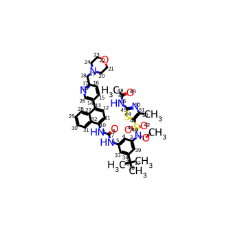 CON(c1cc(NC(=O)Nc2ccc(-c3ccc(CN4CCOCC4)nc3)c3ccccc23)cc(C(C)(C)C)c1)S(=O)(=O)c1sc(NC(C)=O)nc1C